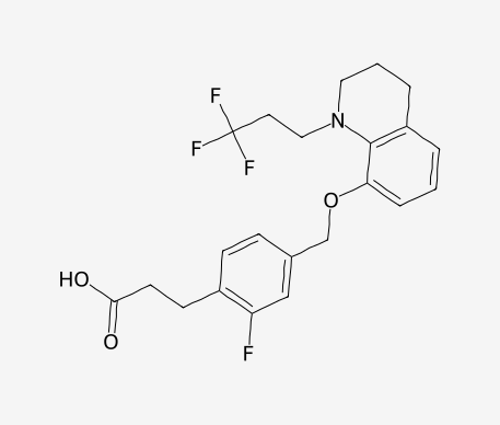 O=C(O)CCc1ccc(COc2cccc3c2N(CCC(F)(F)F)CCC3)cc1F